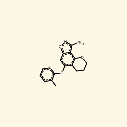 Cc1cccnc1Oc1cc2onc(N)c2c2c1CCCO2